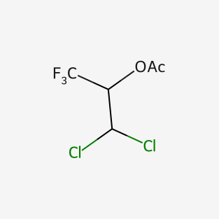 CC(=O)OC(C(Cl)Cl)C(F)(F)F